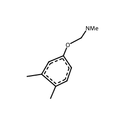 CNCOc1ccc(C)c(C)c1